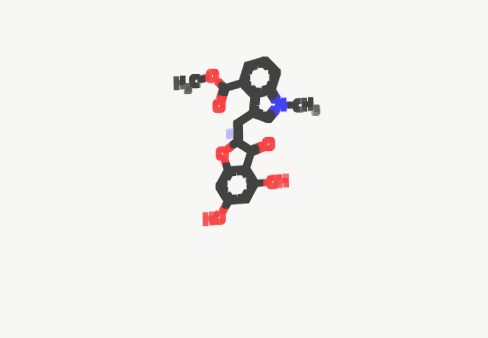 COC(=O)c1cccc2c1c(/C=C1/Oc3cc(O)cc(O)c3C1=O)cn2C